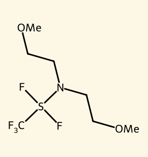 COCCN(CCOC)S(F)(F)C(F)(F)F